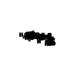 COC(=O)c1cccc(NC(=O)Nc2ccc(CNC(=O)C3CCN(C(=O)O)C3)cc2)c1C